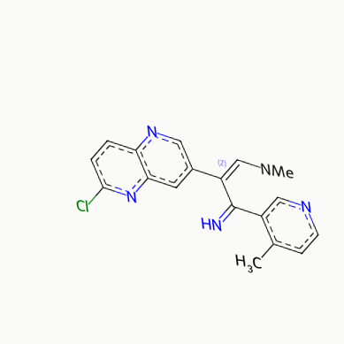 CN/C=C(\C(=N)c1cnccc1C)c1cnc2ccc(Cl)nc2c1